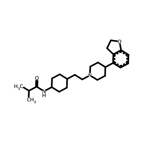 CC(C)C(=O)NC1CCC(CCN2CCC(c3cccc4c3CCO4)CC2)CC1